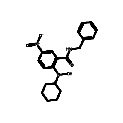 O=C(NCc1ccccc1)c1cc([N+](=O)[O-])ccc1N(O)C1CCCCC1